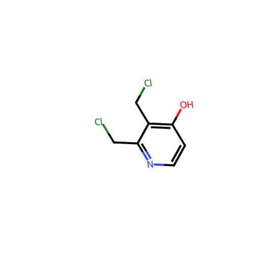 Oc1ccnc(CCl)c1CCl